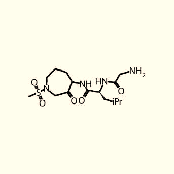 CC(C)C[C@H](NC(=O)CN)C(=O)NC1CCCN(S(C)(=O)=O)CC1=O